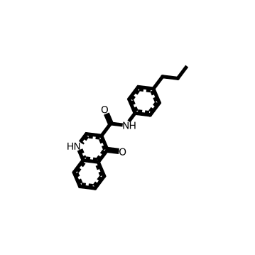 CCCc1ccc(NC(=O)c2c[nH]c3ccccc3c2=O)cc1